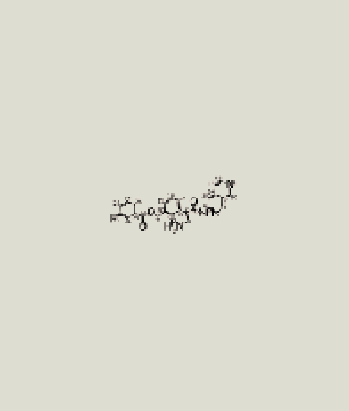 NCC(C(=O)Nc1ccc2cnccc2c1)c1cccc(COC(=O)c2cccc(F)c2)c1F